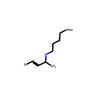 CC/C=C/C(C)[N]CCCCCCCCCC